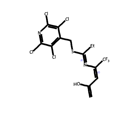 C=C(O)/C=C(\N=C(/CC)SCc1c(Cl)c(Cl)nc(Cl)c1Cl)C(F)(F)F